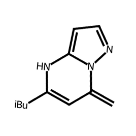 C=C1C=C(C(C)CC)Nc2ccnn21